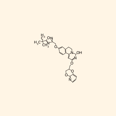 CC(C)(C)c1nc(COc2ccc3c(c2)CCN2C3=CC(OCC3COc4ncccc4O3)=NC2O)no1